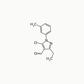 CCc1nn(-c2cccc(C)c2)c(Cl)c1C=O